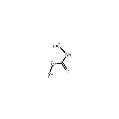 CCCNC(=O)OS